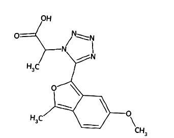 COc1ccc2c(C)oc(-c3nnnn3C(C)C(=O)O)c2c1